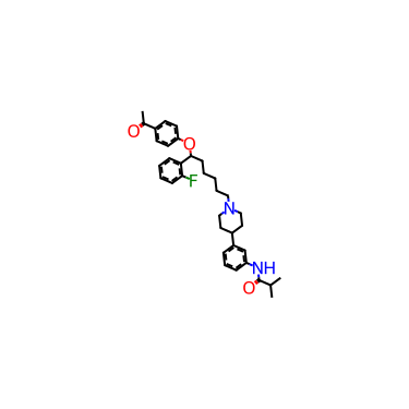 CC(=O)c1ccc(OC(CCCCCN2CCC(c3cccc(NC(=O)C(C)C)c3)CC2)c2ccccc2F)cc1